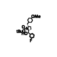 COC1CCC(C[C@@H]2CC[C@H]([C@@H](O)c3cccc(F)c3)N2C(=O)OC(C)(C)C)CC1